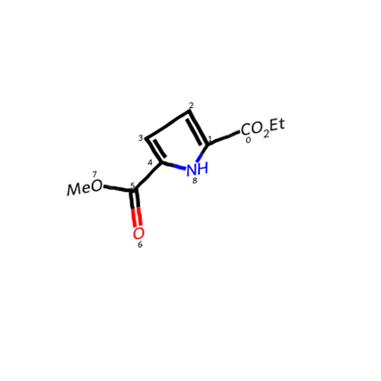 CCOC(=O)c1ccc(C(=O)OC)[nH]1